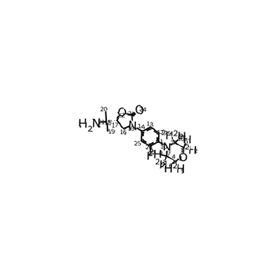 [2H]C1([2H])OC([2H])([2H])C([2H])([2H])N(c2ccc(N3C[C@H](C(C)(C)N)OC3=O)cc2F)C1([2H])[2H]